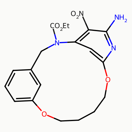 CCOC(=O)N1Cc2cccc(c2)OCCCCOc2cc1c([N+](=O)[O-])c(N)n2